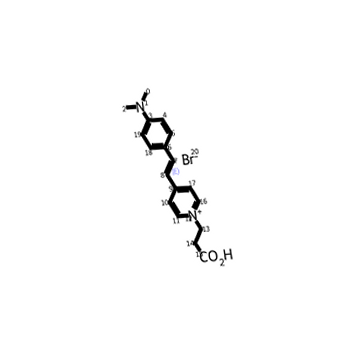 CN(C)c1ccc(/C=C/c2cc[n+](CCC(=O)O)cc2)cc1.[Br-]